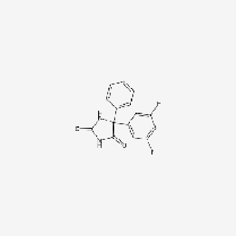 O=C1NC(=O)C(c2ccccc2)(c2cc(F)cc(F)c2)N1